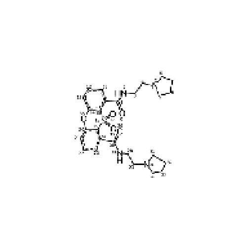 O=C(NCCN1CCCC1)c1cccc2c1S(=O)(=O)c1c(cccc1C(=O)NCCN1CCCC1)O2